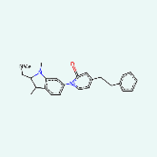 CNCC1C(C)c2ccc(-n3ccc(CCc4ccccc4)cc3=O)cc2N1C